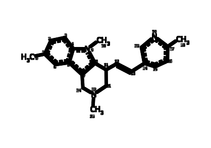 Cc1ccc2c(c1)c1c(n2C)C(/C=C/c2ccc(C)nc2)CN(C)C1